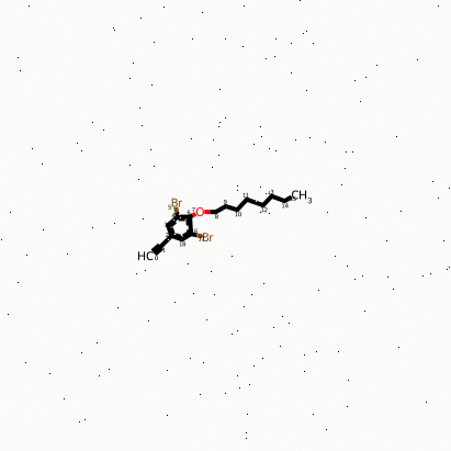 C#Cc1cc(Br)c(OCCCCCCCC)c(Br)c1